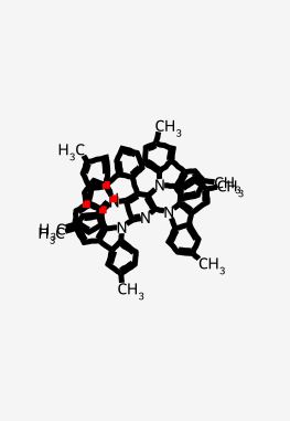 Cc1ccc2c(c1)c1cc(C)ccc1n2-c1nc(-n2c3ccc(C)cc3c3cc(C)ccc32)c(-n2c3ccc(C)cc3c3cc(C)ccc32)c(-c2ccccc2-c2ccccn2)c1-n1c2ccc(C)cc2c2cc(C)ccc21